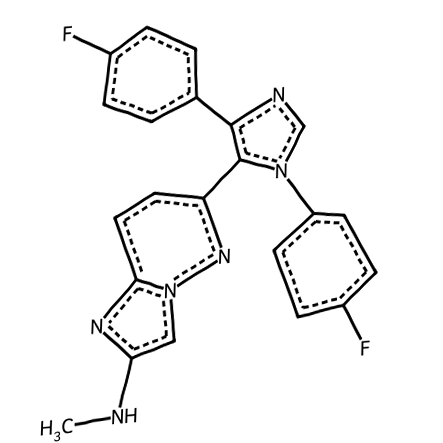 CNc1cn2nc(-c3c(-c4ccc(F)cc4)ncn3-c3ccc(F)cc3)ccc2n1